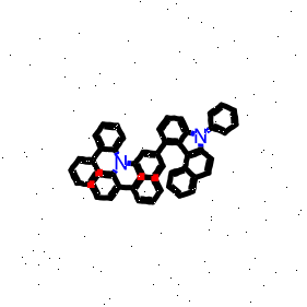 c1ccc(-c2ccccc2N(c2cccc(-c3cccc4c3c3c5ccccc5ccc3n4-c3ccccc3)c2)c2ccccc2-c2ccccc2)cc1